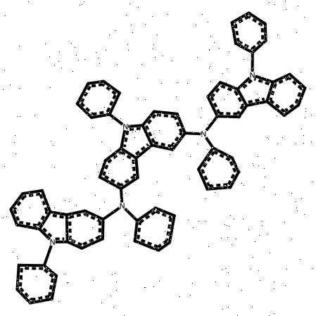 c1ccc(N(c2ccc3c(c2)c2ccccc2n3-c2ccccc2)c2ccc3c(c2)c2cc(N(c4ccccc4)c4ccc5c(c4)c4ccccc4n5-c4ccccc4)ccc2n3-c2ccccc2)cc1